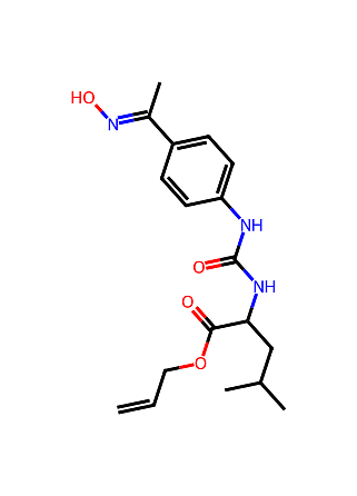 C=CCOC(=O)C(CC(C)C)NC(=O)Nc1ccc(C(C)=NO)cc1